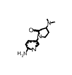 CN(C)C1CCN(c2ccc(N)nc2)C(=O)C1